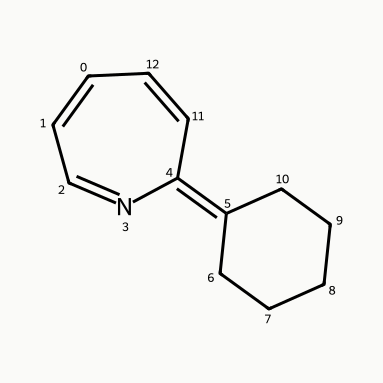 C1=CC=NC(=C2CCCCC2)C=C1